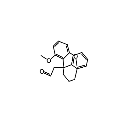 COc1cccc(OC)c1C1(CC=O)CCCc2ccccc21